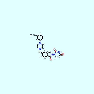 COc1cccc(N2CCN(Cc3ccc4c(c3)CN(N3CCC(=O)NC3=O)C4=O)CC2)c1